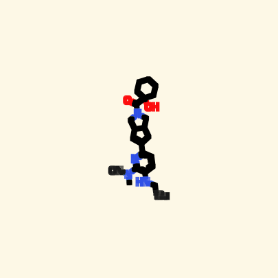 CN(N=O)c1nc(C2=CC3CN(C(=O)C4(O)CCCCC4)CC3C2)ccc1NCC(C)(C)C